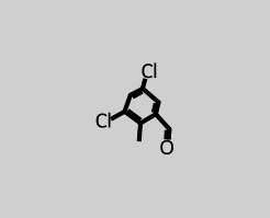 Cc1c(Cl)cc(Cl)cc1C=O